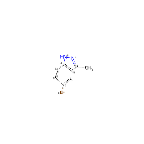 Cc1n[nH]c2c[c]c(Br)cc12